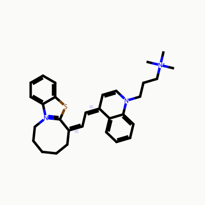 C[N+](C)(C)CCCN1C=C/C(=C/C=C2/CCCCC[n+]3c2sc2ccccc23)c2ccccc21